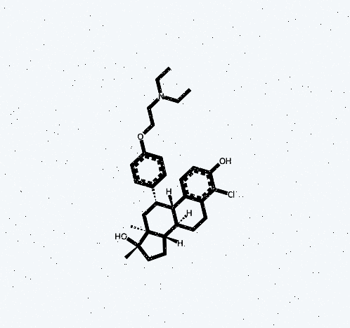 CCN(CC)CCOc1ccc([C@H]2C[C@@]3(C)[C@@H](CC[C@]3(C)O)[C@@H]3CCc4c(ccc(O)c4Cl)[C@H]32)cc1